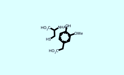 CC(=O)NC(CS)C(=O)O.COc1cc(CC(=O)O)ccc1O